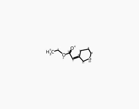 CCOC(=O)C=C1CCCSC1